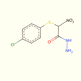 NNC(=O)C(Sc1ccc(Cl)cc1)[N+](=O)[O-]